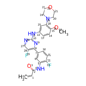 C=CC(=O)Nc1cc(-c2nc(Nc3ccc(OC)c(N4CCOCC4)c3)ncc2F)ccc1F